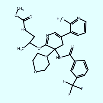 COC(=O)NCC(C)OC1=NC=C(c2cccnc2C)CC1(NC(=O)c1cccc(C(F)(F)F)c1)N1CCOCC1